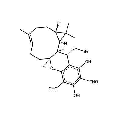 C/C1=C\CC[C@]2(C)Oc3c(C=O)c(O)c(C=O)c(O)c3[C@@H](CC(C)C)[C@H]2[C@H]2[C@H](CC1)C2(C)C